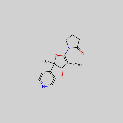 CC(=O)OC1=C(N2CCCC2=O)OC(C)(c2ccncc2)C1=O